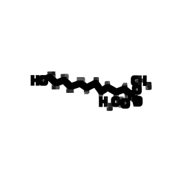 COP(=O)(CCCCCCCCCCCO)OC